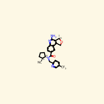 C[C@@H]1OCc2c1c(N)nc1ccc(C(=O)N(Cc3ccc(C(F)(F)F)cn3)[C@H]3CCC[C@@H]3C#N)cc21